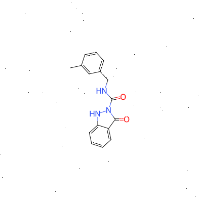 Cc1cccc(CNC(=O)n2[nH]c3ccccc3c2=O)c1